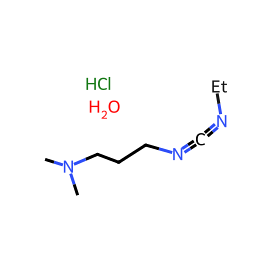 CCN=C=NCCCN(C)C.Cl.O